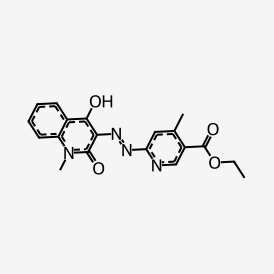 CCOC(=O)c1cnc(N=Nc2c(O)c3ccccc3n(C)c2=O)cc1C